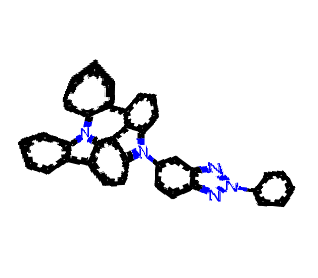 c1ccc(-n2nc3ccc(-n4c5cccc6c7ccccc7n7c8ccccc8c8ccc4c(c65)c87)cc3n2)cc1